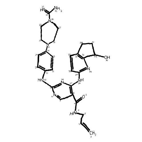 C=CCNC(=O)c1cnc(Nc2ccc(N3CCN(C(=N)N)CC3)cc2)nc1Nc1ccc2c(n1)C(O)CC2